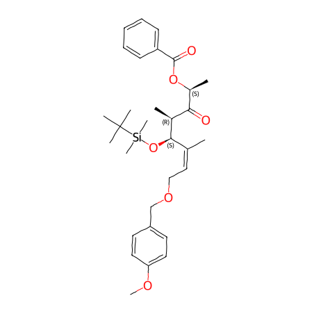 COc1ccc(COCC=C(C)[C@@H](O[Si](C)(C)C(C)(C)C)[C@@H](C)C(=O)[C@H](C)OC(=O)c2ccccc2)cc1